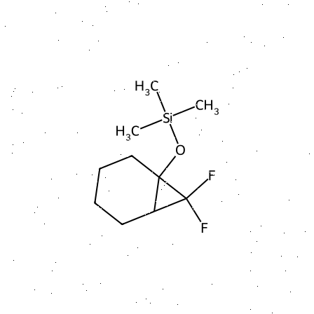 C[Si](C)(C)OC12CCCCC1C2(F)F